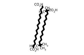 CC(C)(CCCCCCCCCCCCC(C)(C)C(=O)O)C(=O)O.O=C(O)CCCCCCCCCCCCCCCCC(=O)O